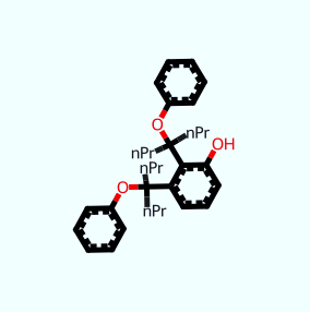 CCCC(CCC)(Oc1ccccc1)c1cccc(O)c1C(CCC)(CCC)Oc1ccccc1